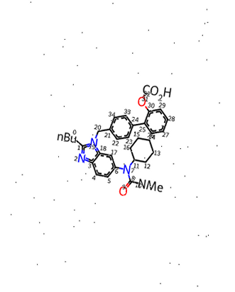 CCCCc1nc2ccc(N(C(=O)NC)C3CCCCC3)cc2n1Cc1ccc(-c2ccccc2OC(=O)O)cc1